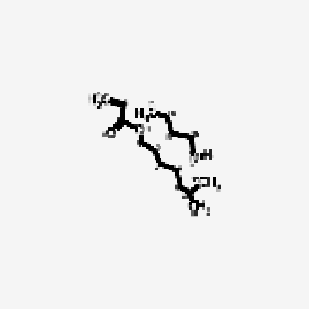 C=CC(=O)OCCCCCC(C)C.CCC[CH2][SnH]